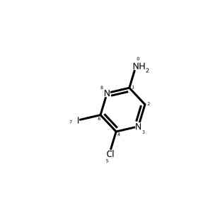 Nc1cnc(Cl)c(I)n1